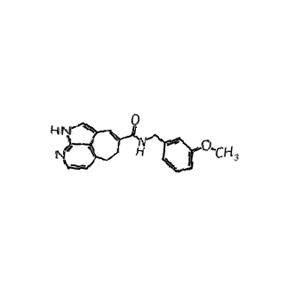 COc1cccc(CNC(=O)C2=Cc3c[nH]c4nccc(c34)CC2)c1